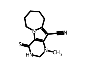 CN1CNC(=S)c2c1c(C#N)c1n2CCCCC1